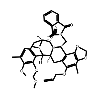 C=CCOc1c(C)c2c(c3c1C[C@H]1[C@@H]4c5c(cc(C)c(OC)c5OCOC)C[C@@H]([C@H](C#N)N1[C@H]3CN1C(=O)c3ccccc3C1=O)N4C)OCO2